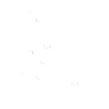 CC(=O)N1CCC(Nc2ncc(F)c(N3CCCC(c4ccc(=O)[nH]c4)C3)n2)CC1